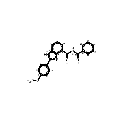 COc1ccc(-c2nc3c(C(=O)NC(=O)c4ccccc4)cccc3[nH]2)cc1